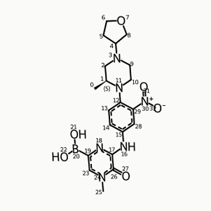 C[C@H]1CN(C2CCOC2)CCN1c1ccc(Nc2nc(B(O)O)cn(C)c2=O)cc1[N+](=O)[O-]